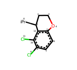 CC(C)C1CCOc2ccc(Cl)c(Cl)c21